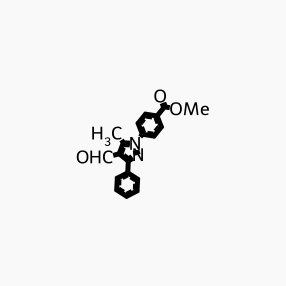 COC(=O)c1ccc(-n2nc(-c3ccccc3)c(C=O)c2C)cc1